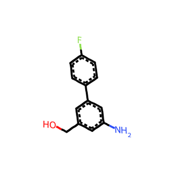 Nc1cc(CO)cc(-c2ccc(F)cc2)c1